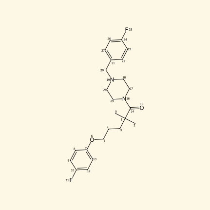 CC(C)(CCCOc1ccc(F)cc1)C(=O)N1CCN(Cc2ccc(F)cc2)CC1